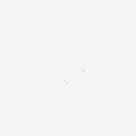 COC(=O)C(O[Si](C)(C)C)C(=C=NOC=C=O)O[Si](C)(C)C